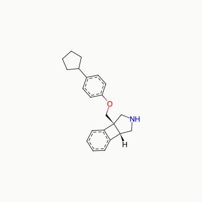 c1ccc2c(c1)[C@H]1CNC[C@@]21COc1ccc(C2CCCC2)cc1